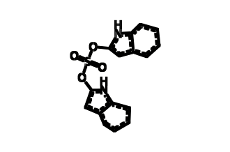 O=S(=O)(Oc1cc2ccccc2[nH]1)Oc1cc2ccccc2[nH]1